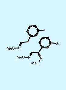 CON=CC(=NOC)c1cccc(Br)c1.CON=CCc1cccc(C)c1